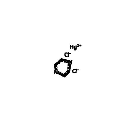 [Cl-].[Cl-].[Hg+2].c1cnccn1